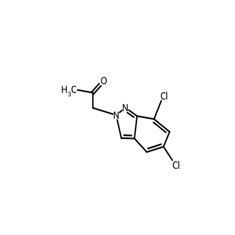 CC(=O)Cn1cc2cc(Cl)cc(Cl)c2n1